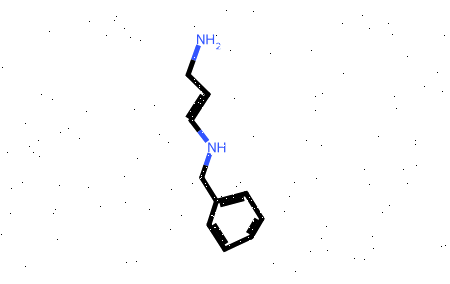 NCC=CNCc1ccccc1